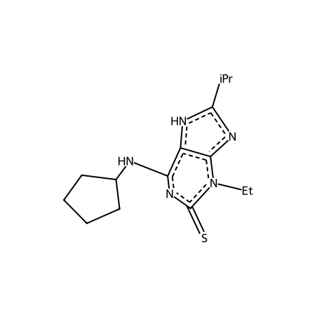 CCn1c(=S)nc(NC2CCCC2)c2[nH]c(C(C)C)nc21